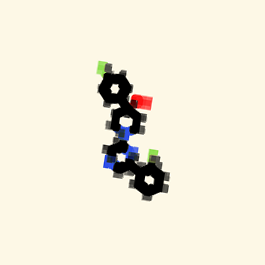 OC1(c2ccc(F)cc2)CCN(c2cncc(-c3ccccc3F)n2)CC1